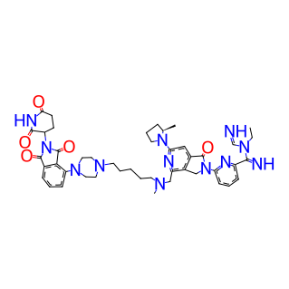 CCN(C=N)C(=N)c1cccc(N2Cc3c(cc(N4CCC[C@H]4C)nc3CN(C)CCCCCN3CCN(c4cccc5c4C(=O)N(C4CCC(=O)NC4=O)C5=O)CC3)C2=O)n1